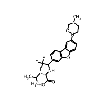 CC(C)C[C@H](NC(c1ccc2c(c1)oc1ccc(N3CCN(C)CO3)cc12)C(F)(F)F)C(=O)O